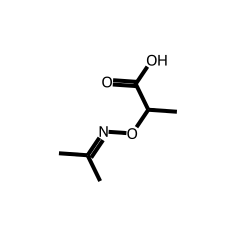 CC(C)=NOC(C)C(=O)O